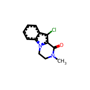 CN1CCn2c(c(Cl)c3ccccc32)C1=O